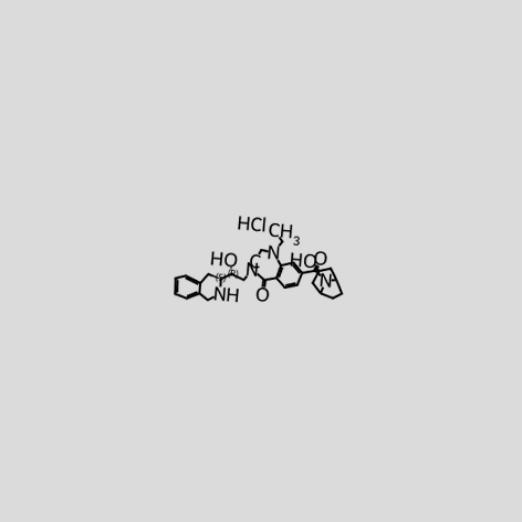 CCN1CCN(C[C@@H](O)[C@@H]2Cc3ccccc3CN2)C(=O)c2ccc(C(=O)N3C4CCC3CC(O)C4)cc21.Cl